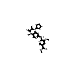 COC(=O)c1cnc(Nc2cc3c(cn2)N(C)C(=O)C(C)N3C2CCCC2)c(OC)c1